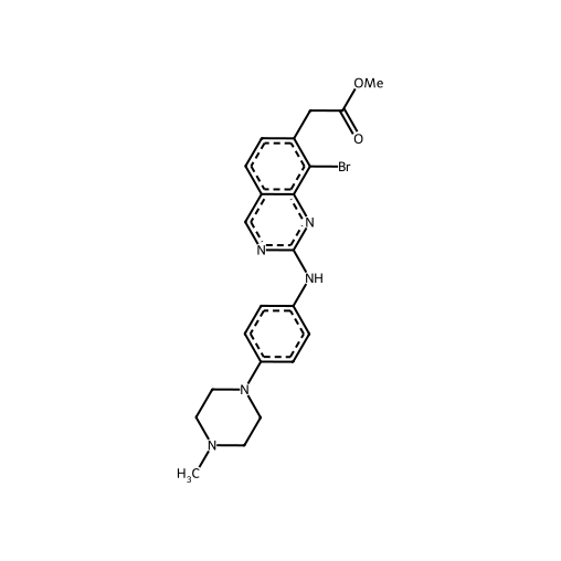 COC(=O)Cc1ccc2cnc(Nc3ccc(N4CCN(C)CC4)cc3)nc2c1Br